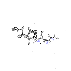 C\C=C/C=C\C(F)=C(/C)n1ncc(C(=O)CC(C)C)c1C